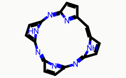 C1=Cc2nc1cc1ccc(nc3nc(nc4ccc(n2)[nH]4)C=C3)[nH]1